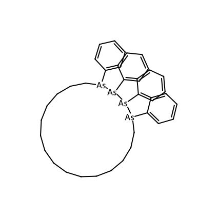 c1ccc([As]2CCCCCCCCCCCCCCC[As](c3ccccc3)[As](c3ccccc3)[As]2c2ccccc2)cc1